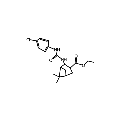 CCOC(=O)C1CC2CC(C1NC(=O)Nc1ccc(Cl)cc1)C2(C)C